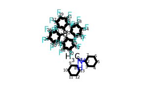 C[NH+](C1CCCCC1)C1CCCCC1.Fc1c(F)c(F)c([B-](c2c(F)c(F)c(F)c(F)c2F)(c2c(F)c(F)c(F)c(F)c2F)c2c(F)c(F)c(F)c(F)c2F)c(F)c1F